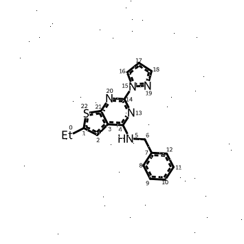 CCc1cc2c(NCc3ccccc3)nc(-n3cccn3)nc2s1